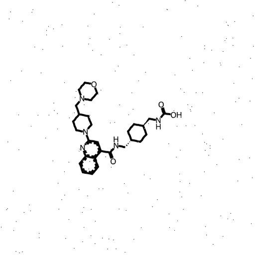 O=C(O)NC[C@H]1CC[C@H](CNC(=O)c2cc(N3CCC(CN4CCOCC4)CC3)nc3ccccc23)CC1